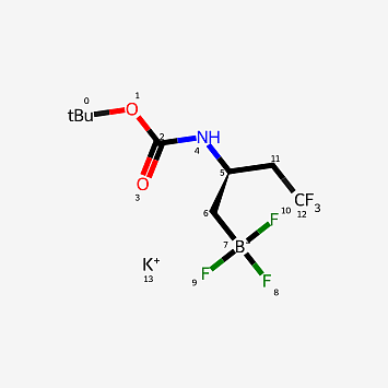 CC(C)(C)OC(=O)N[C@H](C[B-](F)(F)F)CC(F)(F)F.[K+]